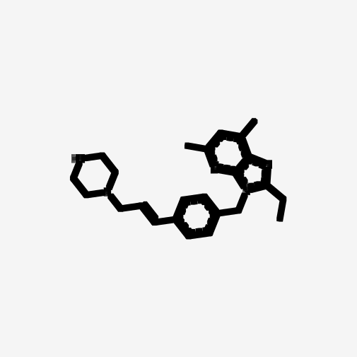 CCc1nc2c(C)cc(C)nc2n1Cc1ccc(C=CCN2CCNCC2)cc1